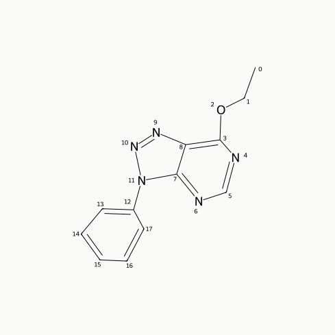 CCOc1ncnc2c1nnn2-c1ccccc1